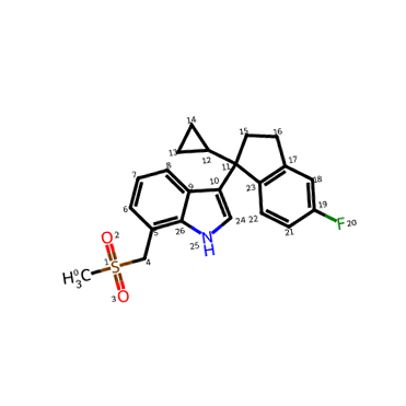 CS(=O)(=O)Cc1cccc2c(C3(C4CC4)CCc4cc(F)ccc43)c[nH]c12